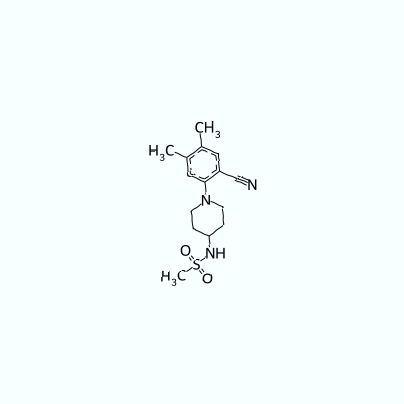 Cc1cc(C#N)c(N2CCC(NS(C)(=O)=O)CC2)cc1C